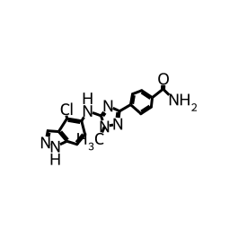 Cn1nc(-c2ccc(C(N)=O)cc2)nc1Nc1ccc2[nH]ncc2c1Cl